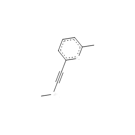 C[SiH2]C#Cc1cccc(C)n1